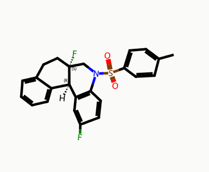 Cc1ccc(S(=O)(=O)N2C[C@]3(F)CCc4ccccc4[C@@H]3c3cc(F)ccc32)cc1